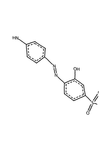 [NH]c1ccc(/N=N/c2ccc(S(=O)(=O)O)cc2O)cc1